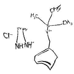 CC(C)[NH-].CC(C)[NH-].C[Si](C)(C)[V+3][C]1=CC=CC1.[Cl-]